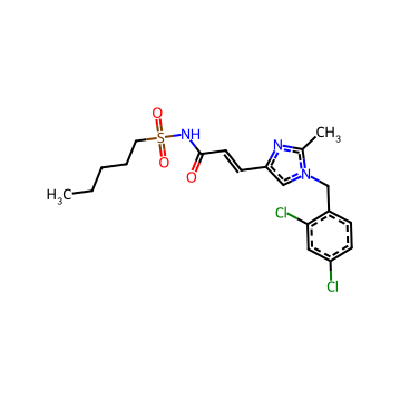 CCCCCS(=O)(=O)NC(=O)/C=C/c1cn(Cc2ccc(Cl)cc2Cl)c(C)n1